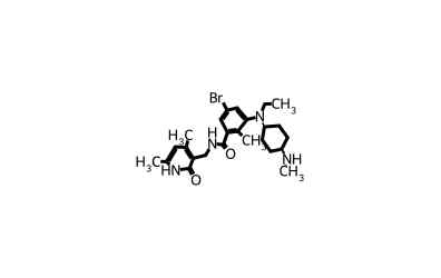 CCN(c1cc(Br)cc(C(=O)NCc2c(C)cc(C)[nH]c2=O)c1C)[C@H]1CC[C@H](NC)CC1